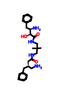 CC(C)(CNC(=O)C[C@H](CN)Cc1ccccc1)CNC(=O)[C@@H](O)[C@H](N)Cc1ccccc1